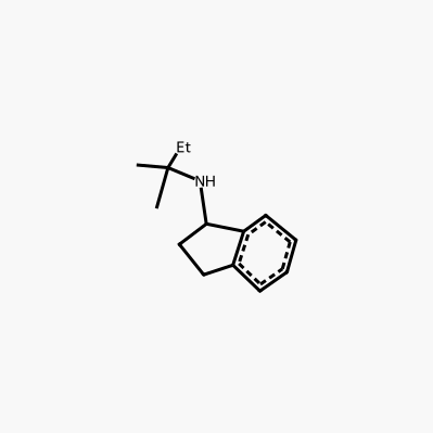 CCC(C)(C)NC1CCc2ccccc21